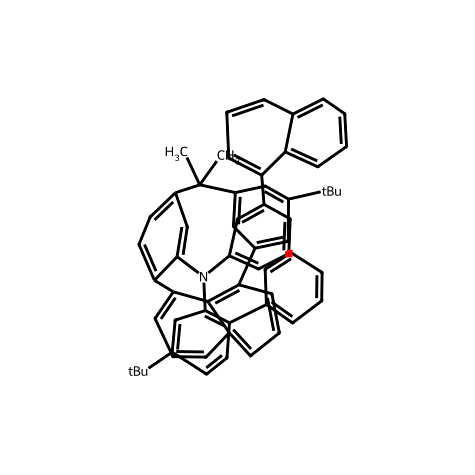 CC(C)(C)c1cc2cc(c1)C(C)(C)c1ccc(c(N(c3cccc(-c4cccc5ccccc45)c3)c3cc(C(C)(C)C)ccc3-c3ccccc3)c1)-c1cccc3cccc-2c13